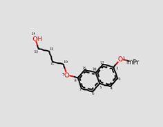 CCCOc1ccc2ccc(OCCCCO)cc2c1